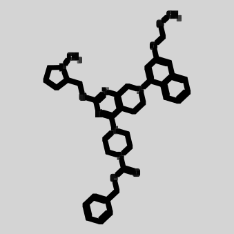 COCOc1cc(N2CCc3c(nc(OCC4CCCN4C)nc3N3CCN(C(=O)OCc4ccccc4)CC3)C2)c2ccccc2c1